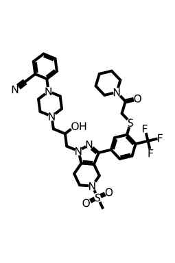 CS(=O)(=O)N1CCc2c(c(-c3ccc(C(F)(F)F)c(SCC(=O)N4CCCCC4)c3)nn2CC(O)CN2CCN(c3ccccc3C#N)CC2)C1